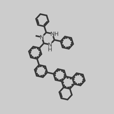 CN1C(C2=CCCC=C2)NC(c2ccccc2)NC1c1cccc(-c2cccc(-c3ccc4c(c3)c3c(c5ccccc54)CCC=C3)c2)c1